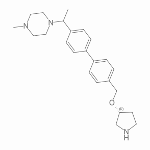 CC(c1ccc(-c2ccc(CO[C@@H]3CCNC3)cc2)cc1)N1CCN(C)CC1